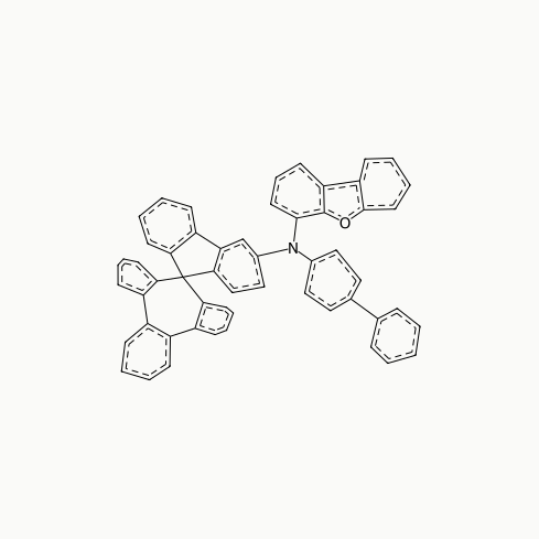 c1ccc(-c2ccc(N(c3ccc4c(c3)-c3ccccc3C43c4ccccc4-c4ccccc4-c4ccccc43)c3cccc4c3oc3ccccc34)cc2)cc1